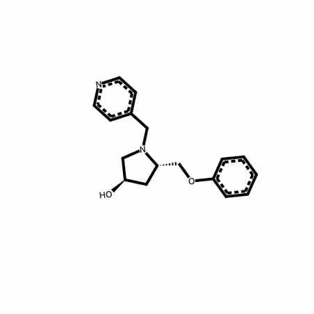 O[C@@H]1C[C@@H](COc2ccccc2)N(Cc2ccncc2)C1